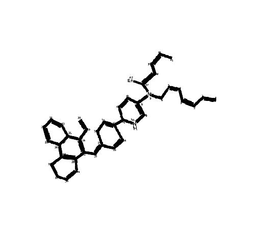 C=C/C=C\C=C/CN(C1=CNC(C2=CC/C(=C\C3=C(C=C)C4C=CC=CC4C4=C3C=CCC4)C=C2)C=C1)/C(=C/C=C\C)CC